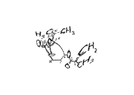 C=C(C)C(=O)OC1CCC2CC1N(C(C)C)C2=O